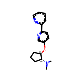 CN(C)[C@@H]1CCC[C@H]1Oc1ccc(-c2ccccn2)nc1